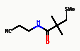 CSCC(C)(C)C(=O)NCCC#N